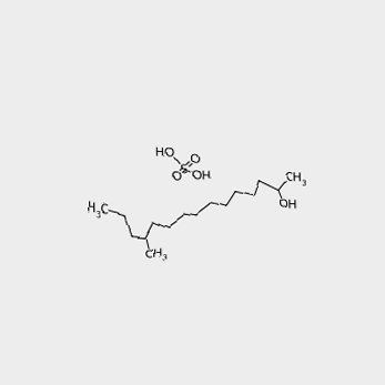 CCCC(C)CCCCCCCCCC(C)O.O=S(=O)(O)O